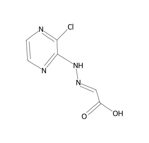 O=C(O)C=NNc1nccnc1Cl